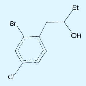 CCC(O)Cc1ccc(Cl)cc1Br